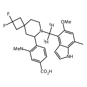 [2H]C([2H])(c1c(OC)cc(C)c2[nH]ccc12)N1CCC2(CC1c1ccc(C(=O)O)cc1NC)CC(F)(F)C2